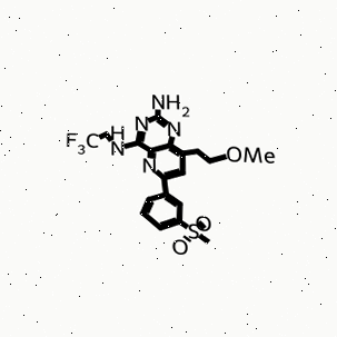 COCCc1cc(-c2cccc(S(C)(=O)=O)c2)nc2c(NCC(F)(F)F)nc(N)nc12